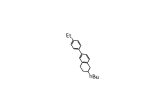 CCCCC1CCc2cc(-c3ccc(CC)cc3)ccc2C1